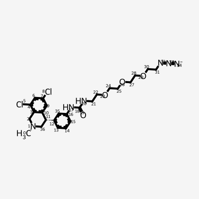 CN1Cc2c(Cl)cc(Cl)cc2[C@H](c2cccc(NC(=O)NCCOCCOCCOCCN=[N+]=[N-])c2)C1